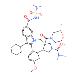 COC1=CC=C2c3c(C4CCCCC4)c4ccc(C(=O)NS(=O)(=O)N(C)C)cc4n3CC3(C(=O)N4C[C@@H](C)O[C@@H](C)C4)CN(C(=O)N(C)C)CC3C2C1